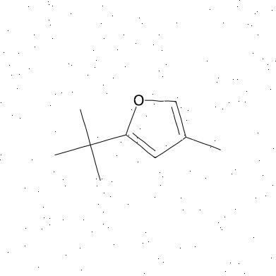 Cc1coc(C(C)(C)C)c1